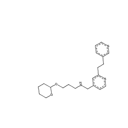 c1cncc(CCc2cc(CNCCCOC3CCCCO3)ccn2)c1